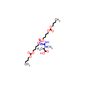 CCCCOC(=O)OCCCCOP(=O)(NC(=N)N(C)C(C)C(=O)O)OCCCCOC(=O)OCCCC